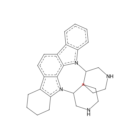 c1ccc2c(c1)c1ccc3c4c(n(C5CCCNC5)c3c1n2C1CCCNC1)CCCC4